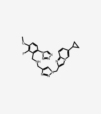 COc1ccc(-n2cnnn2)c(CNCc2cn(Cc3cn4cc(C5CC5)ccc4n3)nn2)c1F